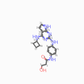 O=C(CCO)Nc1ccc(Nc2nc(NC3CCC3)c3cc[nH]c3n2)cc1